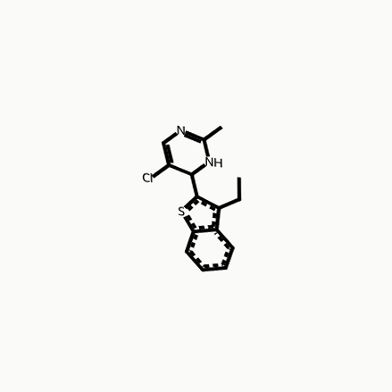 CCc1c(C2NC(C)=NC=C2Cl)sc2ccccc12